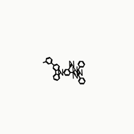 Cc1cccc(-c2ccc3c(c2)c2ccccc2n3-c2ccc(-c3nc(-c4ccccc4)nc(-c4ccccc4)n3)c(C#N)c2)c1